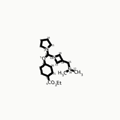 CCOC(=O)C1CCC(OC(N2CCCC2)N2CC(CN(C)C)C2)CC1